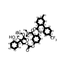 CCC(C)OC(=O)C(COC(=O)Oc1ccc(NC(=O)c2ccc(C)cc2-c2ccc(C(F)(F)F)cc2)c(C(=O)N(C)C)c1)(C(=O)O)c1ccccc1